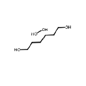 OCCCCCCO.OO